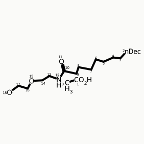 CC(=O)O.CCCCCCCCCCCCCCCCCC(=O)NCCOCC[O]